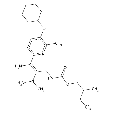 Cc1nc(/C(N)=C(\CNC(=O)OCC(C)CC(F)(F)F)N(C)N)ccc1OC1CCCCC1